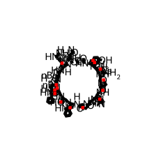 CCCC[C@H]1C(=O)N(C)[C@@H](CCCC)C(=O)NC(CCCNC(=N)N)C(=O)N[C@H](C(=O)NCC(N)=O)CSCC(=O)N[C@@H](Cc2ccc(O)cc2)C(=O)N(C)[C@@H](C)C(=O)N[C@@H](CC(N)=O)C(=O)N2CCC[C@H]2C(=O)N[C@@H](Cc2cnc[nH]2)C(=O)N[C@@H](CC(C)C)C(=O)N2CCC[C@H]2C(=O)N[C@@H](Cc2c[nH]c3ccccc23)C(=O)N[C@@H](CO)C(=O)N[C@@H](Cc2c(-c3ccccc3)[nH]c3ccccc23)C(=O)N1C